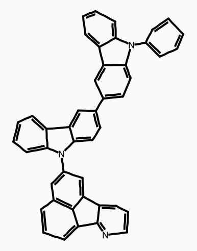 c1ccc(-n2c3ccccc3c3cc(-c4ccc5c(c4)c4ccccc4n5-c4cc5c6c(cccc6c4)-c4ncccc4-5)ccc32)cc1